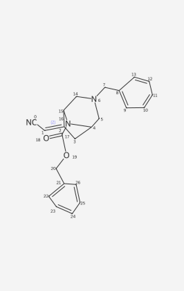 N#C/C=C1/CC2CN(Cc3ccccc3)CC1N2C(=O)OCc1ccccc1